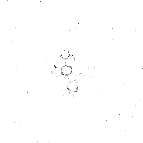 CC(C)N1c2c3c(c4c(c2C2C=C(O)C=CC21)CNC4=O)-c1cn(C)nc1CC3